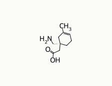 CC1=CCC[C@@](CN)(CC(=O)O)C1